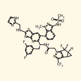 Cn1nc(NS(C)(=O)=O)c2cccc(-c3cc4sc(NCc5ncc[nH]5)nc4nc3[C@H](Cc3cc(F)cc(F)c3)NC(=O)Cn3nc(C(F)(F)F)c4c3C(F)(F)[C@@H]3CC43)c21